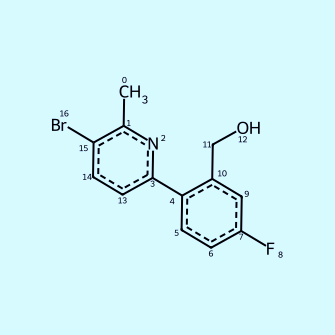 Cc1nc(-c2ccc(F)cc2CO)ccc1Br